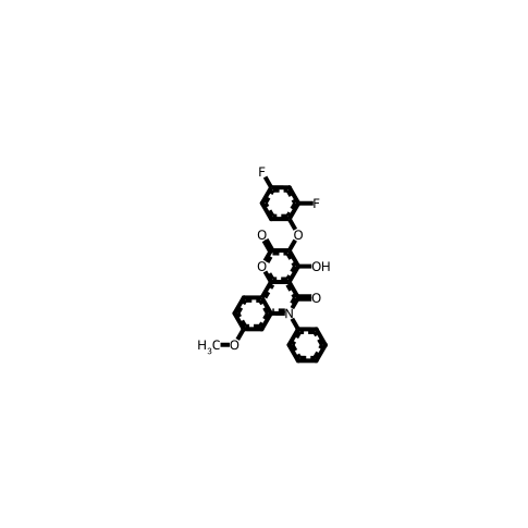 COc1ccc2c3oc(=O)c(Oc4ccc(F)cc4F)c(O)c3c(=O)n(-c3ccccc3)c2c1